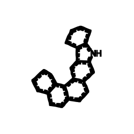 c1ccc2c(c1)ccc1ccc3cc4[nH]c5ccccc5c4cc3c12